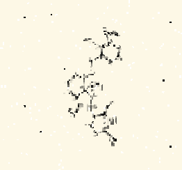 COc1cccc(COC2C=CC=C3C(=O)N(C4CCC(=O)NC4=O)CC32C)c1F